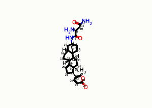 C[C@]12CC[C@H](NC(=O)[C@H](N)CC(N)=O)C[C@H]1CC[C@H]1C3=CC[C@H](c4ccc(=O)oc4)[C@@]3(C)CC[C@@H]12